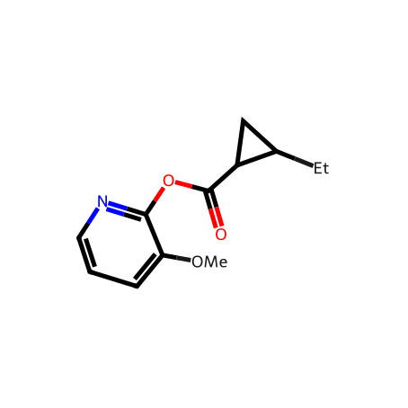 CCC1CC1C(=O)Oc1ncccc1OC